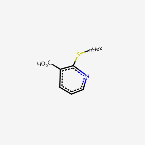 CCCCCCSc1ncccc1C(=O)O